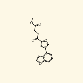 COC(=O)CCC(=O)c1cc(-c2cccc3occc23)co1